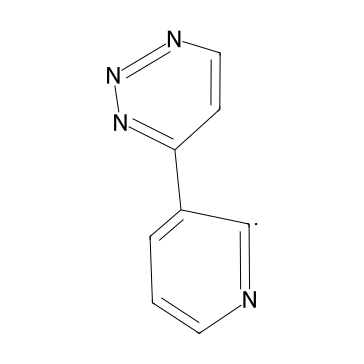 [c]1ncccc1-c1ccnnn1